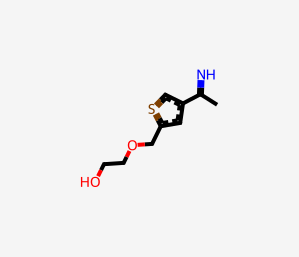 CC(=N)c1csc(COCCO)c1